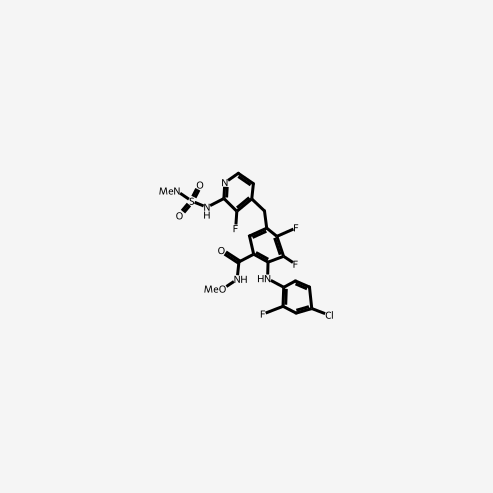 CNS(=O)(=O)Nc1nccc(Cc2cc(C(=O)NOC)c(Nc3ccc(Cl)cc3F)c(F)c2F)c1F